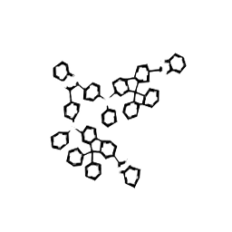 c1ccc(N(c2ccc(-c3nc4ccccc4nc3-c3ccc(N(c4ccccc4)c4ccc5c(c4)C(c4ccccc4)(c4ccccc4)c4cc(-c6nc7ccccc7o6)ccc4-5)cc3)cc2)c2ccc3c(c2)C(c2ccccc2)(c2ccccc2)c2cc(-c4nc5ccccc5o4)ccc2-3)cc1